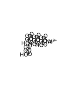 O=[Si]([O-])OS(=O)(=O)O.O=[Si]([O-])OS(=O)(=O)O.O=[Si]([O-])OS(=O)(=O)O.O=[Si]([O-])OS(=O)(=O)O.[Al+3].[Na+]